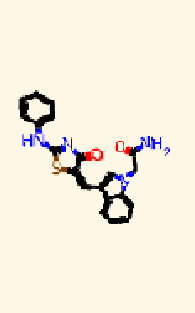 NC(=O)Cn1cc(C=C2SC(Nc3cc[c]cc3)=NC2=O)c2ccccc21